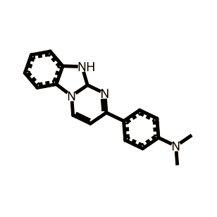 CN(C)c1ccc(C2=NC3Nc4ccccc4N3C=C2)cc1